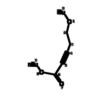 [CH2]C(CC)OCCC#CC(=O)OCCCC